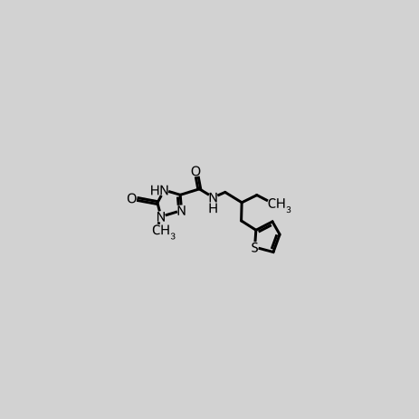 CCC(CNC(=O)c1nn(C)c(=O)[nH]1)Cc1cccs1